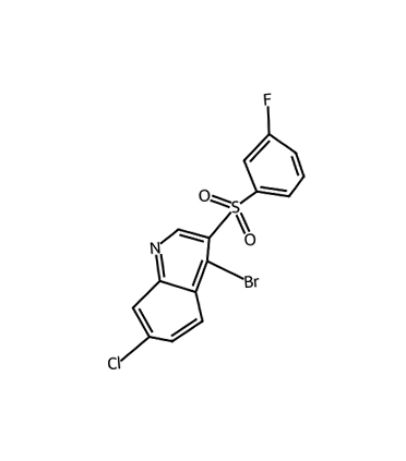 O=S(=O)(c1cccc(F)c1)c1cnc2cc(Cl)ccc2c1Br